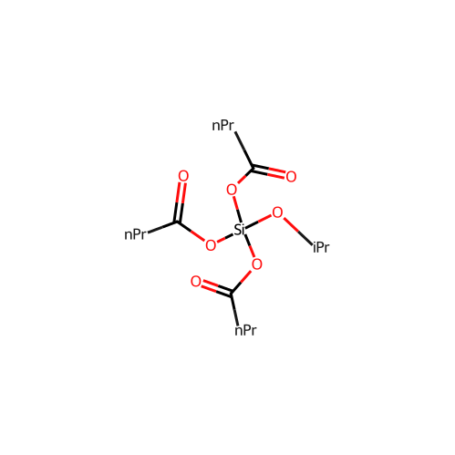 CCCC(=O)O[Si](OC(=O)CCC)(OC(=O)CCC)OC(C)C